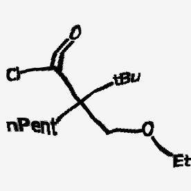 CCCCCC(COCC)(C(=O)Cl)C(C)(C)C